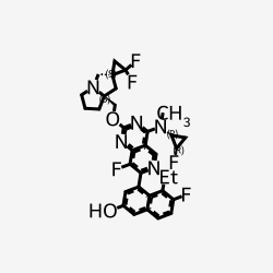 CCc1c(F)ccc2cc(O)cc(-c3ncc4c(N(C)[C@@H]5C[C@H]5F)nc(OC[C@@]56CCCN5C[C@@]5(CC5(F)F)C6)nc4c3F)c12